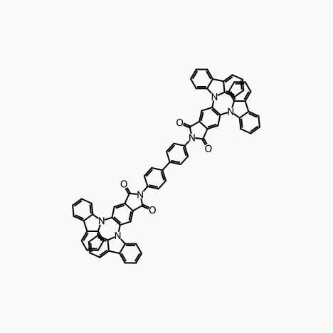 O=C1c2cc(-n3c4ccccc4c4ccccc43)c(-n3c4ccccc4c4ccccc43)cc2C(=O)N1c1ccc(-c2ccc(N3C(=O)c4cc(-n5c6ccccc6c6ccccc65)c(-n5c6ccccc6c6ccccc65)cc4C3=O)cc2)cc1